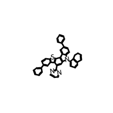 C1=Cc2cccc(-n3c4ccc(-c5ccccc5)cc4c4c5sc6ccc(-c7ccccc7)cc6c5c(-c5ncccn5)cc43)c2CC1